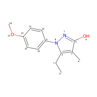 CCc1c(C)c(O)nn1-c1ccc(OC)cc1